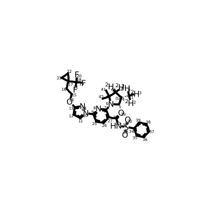 [2H]C([2H])([2H])[C@@H]1CN(c2nc(-n3ccc(OCCC4(C(F)(F)F)CC4)n3)ccc2C(=O)NS(=O)(=O)c2ccccc2)C(C)(C)C1([2H])[2H]